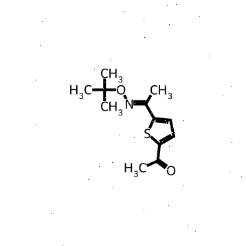 CC(=O)c1ccc(C(C)=NOC(C)(C)C)s1